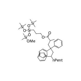 CCCCCC(CC(CC(C)C(=O)OCCC[Si](O[Si](C)(C)C)(O[Si](C)(C)C)O[Si](C)(C)OC)(c1ccccc1)c1ccccc1)c1ccccc1